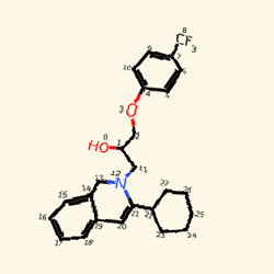 OC(COc1ccc(C(F)(F)F)cc1)CN1Cc2ccccc2C=C1C1CCCCC1